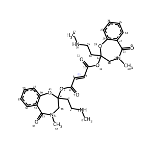 CNCCC1(OC(=O)/C=C/C(=O)OC2(CCNC)CN(C)C(=O)c3ccccc3O2)CN(C)C(=O)c2ccccc2O1